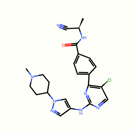 C[C@H](C#N)NC(=O)c1ccc(-c2nc(Nc3cnn(C4CCN(C)CC4)c3)ncc2Cl)cc1